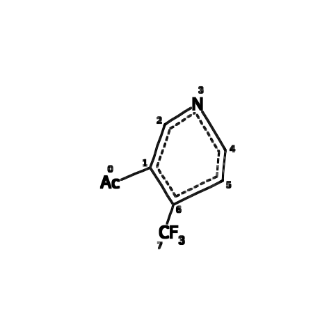 CC(=O)c1cnccc1C(F)(F)F